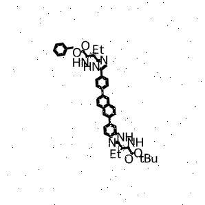 CC[C@@H](C(=N)C(=O)OCc1ccccc1)c1ncc(-c2ccc(-c3ccc4cc(-c5ccc6nc([C@@H](CC)C(=N)C(=O)OC(C)(C)C)[nH]c6c5)ccc4c3)cc2)[nH]1